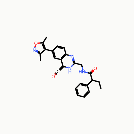 CCC(C(=O)NCC1=Nc2ccc(-c3c(C)noc3C)cc2C(=C=O)N1)c1ccccc1